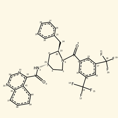 O=C(N[C@H]1CCN(C(=O)c2cc(C(F)(F)F)cc(C(F)(F)F)c2)[C@H](Cc2ccccc2)C1)c1ncnc2ccccc12